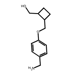 NCc1ccc(OCC2CCC2CO)cc1